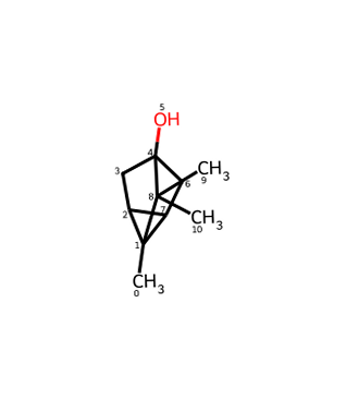 CC12C3CC(O)(CC31)C2(C)C